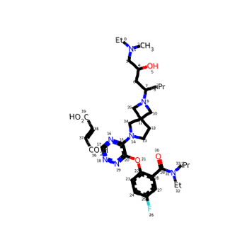 CCN(C)CC(O)CC(C(C)C)N1CC2(CCN(c3ncnnc3Oc3ccc(F)cc3C(=O)N(CC)C(C)C)C2)C1.O=C(O)/C=C/C(=O)O